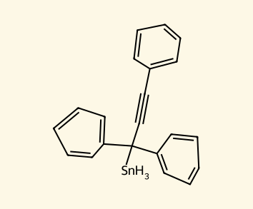 [SnH3][C](C#Cc1ccccc1)(c1ccccc1)c1ccccc1